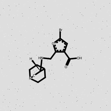 O=C(O)c1cc(Br)oc1CN[C@H]1CN2CCC1CC2